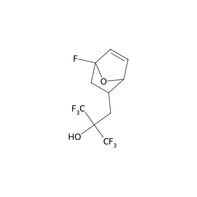 OC(CC1CC2(F)C=CC1O2)(C(F)(F)F)C(F)(F)F